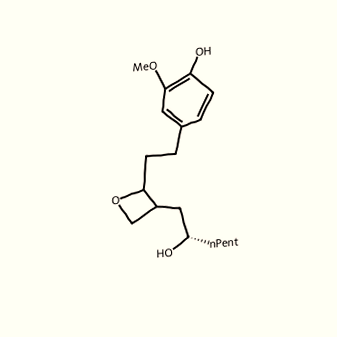 CCCCC[C@H](O)CC1COC1CCc1ccc(O)c(OC)c1